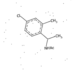 CC(=O)NC(C)c1ccc(Cl)cc1C